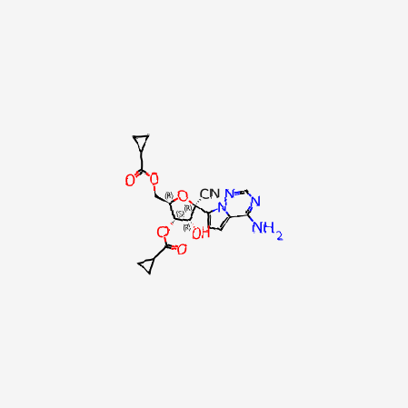 N#C[C@@]1(c2ccc3c(N)ncnn23)O[C@H](COC(=O)C2CC2)[C@@H](OC(=O)C2CC2)[C@H]1O